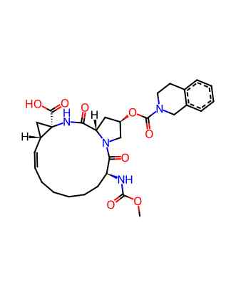 COC(=O)N[C@H]1CCCCC/C=C\[C@@H]2C[C@@]2(C(=O)O)NC(=O)[C@@H]2C[C@@H](OC(=O)N3CCc4ccccc4C3)CN2C1=O